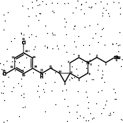 CC(C)(C)CCN1CCC2(CC1)CC2CNc1cc(Cl)cc(Cl)c1